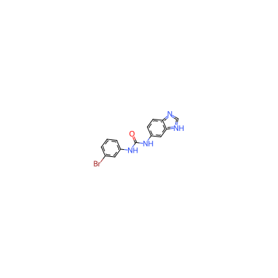 O=C(Nc1cccc(Br)c1)Nc1ccc2nc[nH]c2c1